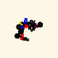 C[C@@H](CNC(C)(C)CC(=O)NC1CSc2ccccc2N(Cc2ccc(-c3ccccc3C(=O)OC(C)(C)C)cc2)C1=O)OCc1ccccc1